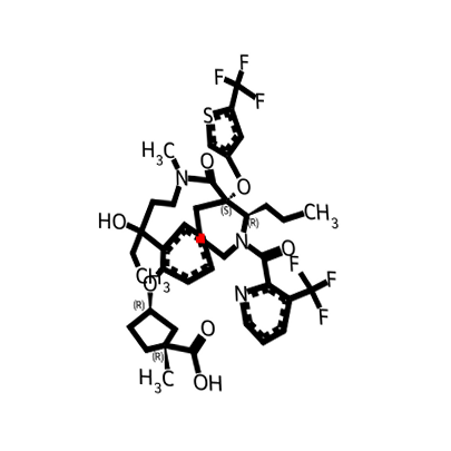 CCC[C@H]1N(C(=O)c2ncccc2C(F)(F)F)CCC[C@@]1(Oc1csc(C(F)(F)F)c1)C(=O)N(C)CCC(O)(CC)c1ccccc1O[C@@H]1CC[C@@](C)(C(=O)O)C1